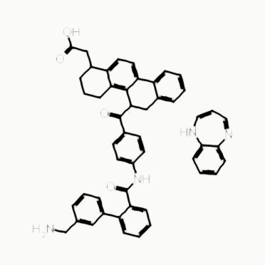 C1=CNc2ccccc2N=C1.NCc1cccc(-c2ccccc2C(=O)Nc2ccc(C(=O)C3Cc4ccccc4-c4ccc5c(c43)CCCC5CC(=O)O)cc2)c1